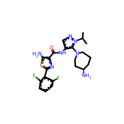 CC(C)n1ncc(NC(=O)c2nc(-c3c(F)cccc3F)sc2N)c1N1CCC[C@@H](N)CC1